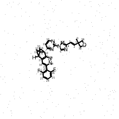 CC1(/C=C/c2ncn(-c3nccc([C@]45CC[C@@H](c6cc(-c7c(F)cccc7F)nnc64)C5(C)C)n3)n2)COC1